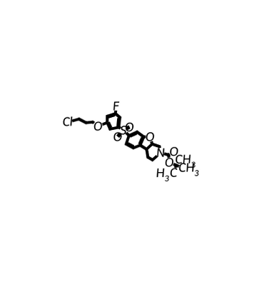 CC(C)(C)OC(=O)N1CCC2c3ccc(S(=O)(=O)c4cc(F)cc(OCCCCl)c4)cc3OC2C1